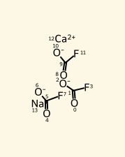 O=C([O-])F.O=C([O-])F.O=C([O-])F.[Ca+2].[Na+]